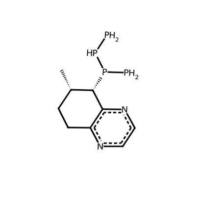 C[C@H]1CCc2nccnc2[C@H]1P(P)PP